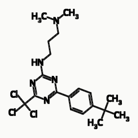 CN(C)CCCNc1nc(-c2ccc(C(C)(C)C)cc2)nc(C(Cl)(Cl)Cl)n1